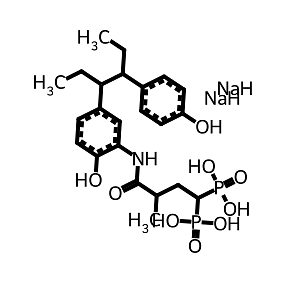 CCC(c1ccc(O)cc1)C(CC)c1ccc(O)c(NC(=O)C(C)CC(P(=O)(O)O)P(=O)(O)O)c1.[NaH].[NaH]